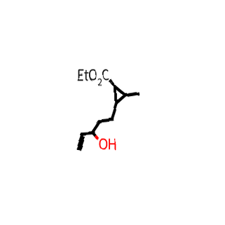 C=CC(O)CCC1C(C)C1C(=O)OCC